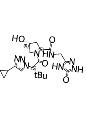 CC(C)(C)[C@@H](C(=O)N1C[C@H](O)C[C@H]1C(=O)NCc1n[nH]c(=O)[nH]1)n1cc(C2CC2)nn1